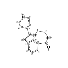 O=C1NCCn2c(-c3ccncc3)nc3cccc1c32